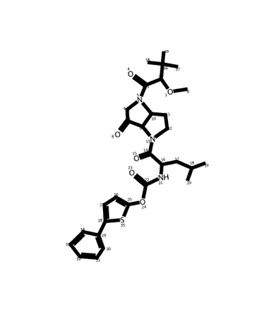 COC(C(=O)N1CC(=O)C2C1CCN2C(=O)C(CC(C)C)NC(=O)Oc1ccc(-c2ccccc2)s1)C(C)(C)C